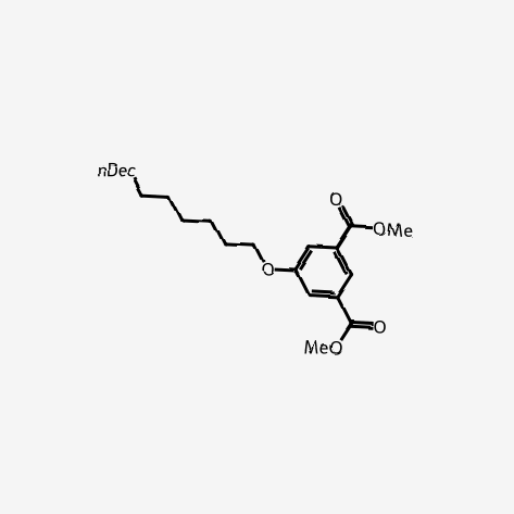 CCCCCCCCCCCCCCCCOc1cc(C(=O)OC)cc(C(=O)OC)c1